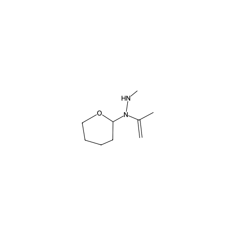 C=C(C)N(NC)C1CCCCO1